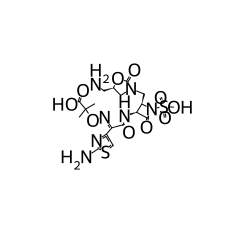 CC(C)(ON=C(C(=O)N[C@@H]1C(=O)N(S(=O)(=O)O)[C@@H]1CN1C[C@@H](CN)OC1=O)c1csc(N)n1)C(=O)O